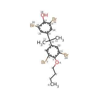 CCCCOc1c(Br)cc(C(C)(C)c2cc(Br)c(O)c(Br)c2)cc1Br